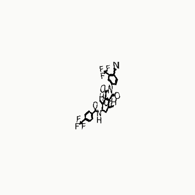 CC12C[C@@H](NC(=O)c3ccc(C(F)(F)F)cc3)C(C)(O1)[C@@H]1C(=O)N(c3ccc(C#N)c(C(F)(F)F)c3)C(=O)[C@@H]12